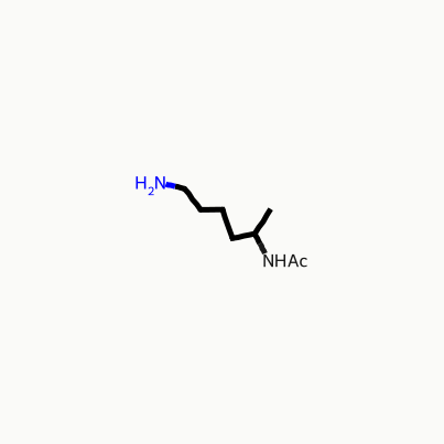 CC(=O)NC(C)CCCCN